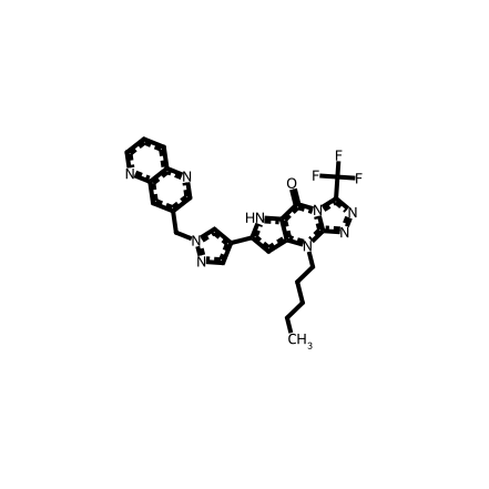 CCCCCn1c2cc(-c3cnn(Cc4cnc5cccnc5c4)c3)[nH]c2c(=O)n2c(C(F)(F)F)nnc12